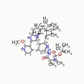 COc1ncccc1-c1nc2ccccn2c1-c1ccc(NC(=O)C(C)N(C)C(=O)OC(C)(C)C)nc1C#C[Si](C(C)C)(C(C)C)C(C)C